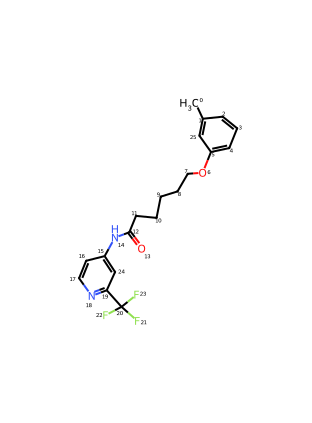 Cc1cccc(OCCCCCC(=O)Nc2ccnc(C(F)(F)F)c2)c1